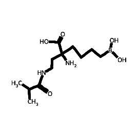 CC(C)C(=O)NCCC(N)(CCCCB(O)O)C(=O)O